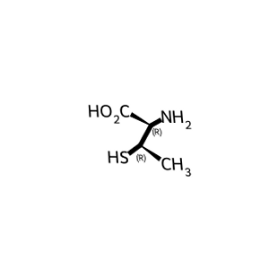 C[C@@H](S)[C@H](N)C(=O)O